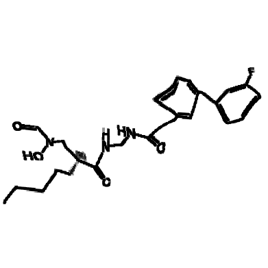 CCCCC[C@H](CN(O)C=O)C(=O)NCNC(=O)c1cccc(-c2cccc(F)c2)c1